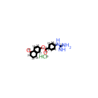 Cl.N=C(N)Nc1ccc(C(=O)Oc2ccc3c(c2)CCCC3=O)cc1